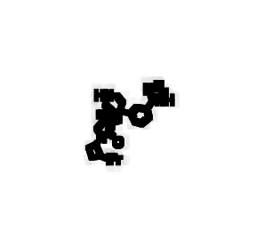 CCCCc1cn(C2CCC2C(C)C)c(=O)n1CC1(c2cccc(-c3nnn[nH]3)c2)C=CNC=C1